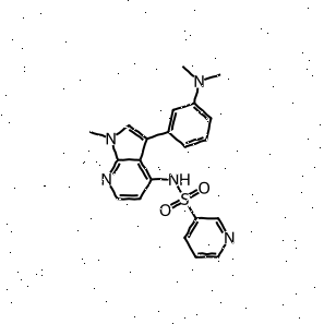 CN(C)c1cccc(-c2cn(C)c3nccc(NS(=O)(=O)c4cccnc4)c23)c1